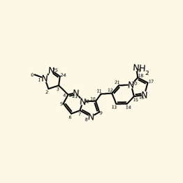 CN1CC(c2ccc3ncc(Cc4ccc5ncc(N)n5c4)n3n2)C=N1